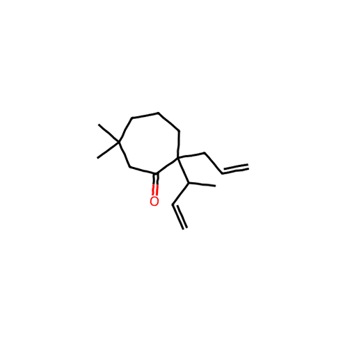 C=CCC1(C(C)C=C)CCCC(C)(C)CC1=O